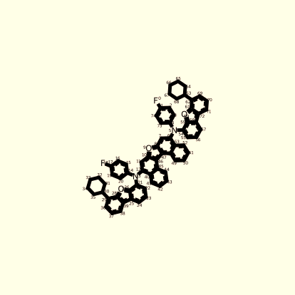 Fc1ccc(N(c2cc3oc4cc(N(c5ccc(F)cc5)c5cccc6c5oc5c(C7CCCCC7)cccc56)c5ccccc5c4c3c3ccccc23)c2cccc3c2oc2c(C4CCCCC4)cccc23)cc1